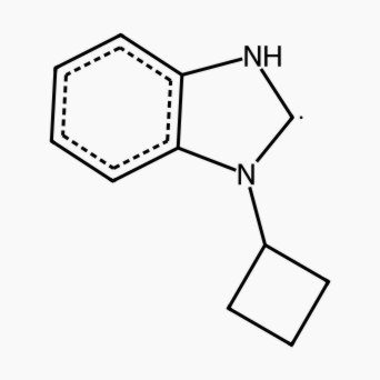 [CH]1Nc2ccccc2N1C1CCC1